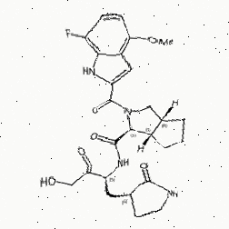 COc1ccc(F)c2[nH]c(C(=O)N3C[C@@H]4CCC[C@@H]4[C@H]3C(=O)N[C@@H](C[C@@H]3CCNC3=O)C(=O)CO)cc12